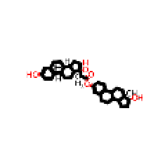 C[C@]12CCC3c4ccc(OC(=O)C[C@]5(O)CC[C@H]6[C@@H]7CCc8cc(O)ccc8[C@H]7CC[C@@]65C)cc4CCC3C1CC[C@@H]2O